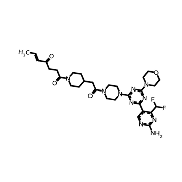 C/C=C/C(=O)CCC(=O)N1CCC(CC(=O)N2CCN(c3nc(-c4cnc(N)nc4C(F)F)nc(N4CCOCC4)n3)CC2)CC1